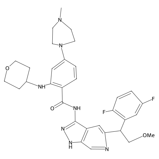 COCC(c1cc2c(NC(=O)c3ccc(N4CCN(C)CC4)cc3NC3CCOCC3)n[nH]c2cn1)c1cc(F)ccc1F